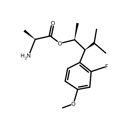 COc1ccc([C@H](C(C)C)[C@H](C)OC(=O)[C@H](C)N)c(F)c1